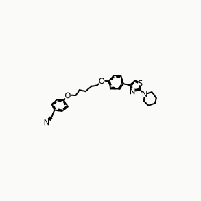 N#Cc1ccc(OCCCCCOc2ccc(-c3csc(N4CCCCC4)n3)cc2)cc1